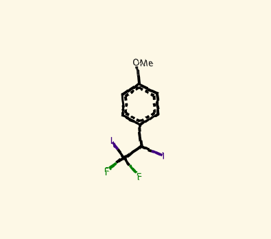 COc1ccc(C(I)C(F)(F)I)cc1